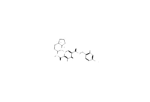 CCN1C(=O)c2c(O)c(=O)c(C(=O)NCc3ccc(F)cc3F)cn2N2C1CC[C@H]1CCC[C@H]12